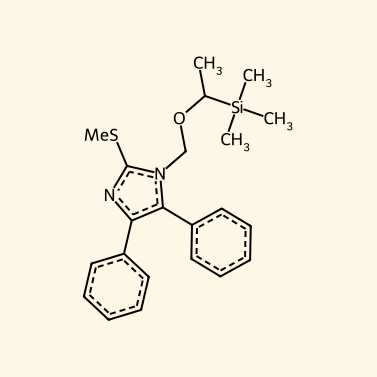 CSc1nc(-c2ccccc2)c(-c2ccccc2)n1COC(C)[Si](C)(C)C